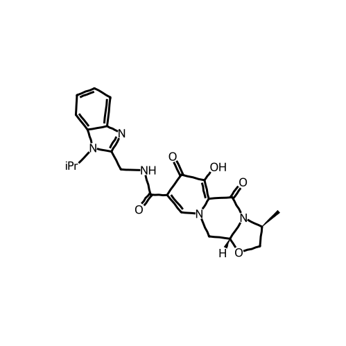 CC(C)n1c(CNC(=O)c2cn3c(c(O)c2=O)C(=O)N2[C@@H](C)CO[C@@H]2C3)nc2ccccc21